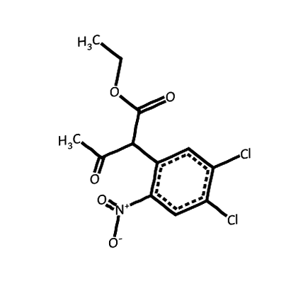 CCOC(=O)C(C(C)=O)c1cc(Cl)c(Cl)cc1[N+](=O)[O-]